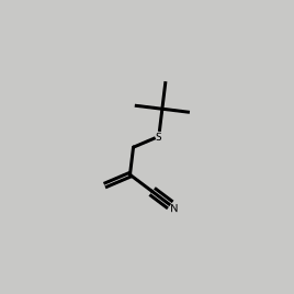 C=C(C#N)CSC(C)(C)C